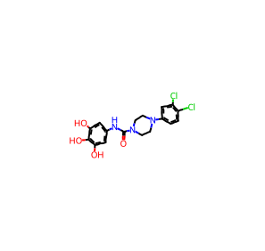 O=C(Nc1cc(O)c(O)c(O)c1)N1CCN(c2ccc(Cl)c(Cl)c2)CC1